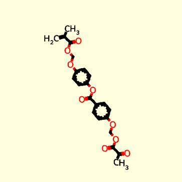 C=C(C)C(=O)OCOc1ccc(OC(=O)c2ccc(OCOC(=O)C(C)=O)cc2)cc1